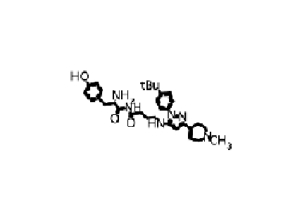 CN1CC=C(c2cc(NCCCC(=O)NC(=O)[C@@H](N)Cc3ccc(O)cc3)n(-c3ccc(C(C)(C)C)cc3)n2)CC1